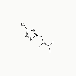 CCc1nnn(CC(I)=C(I)I)n1